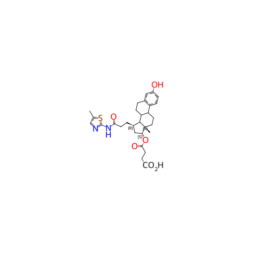 Cc1cnc(NC(=O)CC[C@@H]2C[C@H](OC(=O)CCC(=O)O)[C@@]3(C)CCC4c5ccc(O)cc5CCC4C23)s1